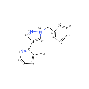 Cc1cccnc1-c1cnn(Cc2ccccc2)c1